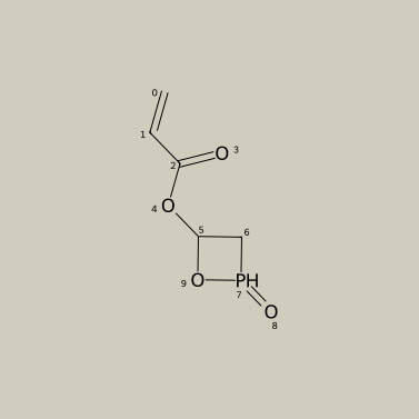 C=CC(=O)OC1C[PH](=O)O1